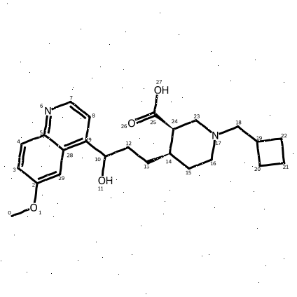 COc1ccc2nccc(C(O)CC[C@@H]3CCN(CC4CCC4)C[C@@H]3C(=O)O)c2c1